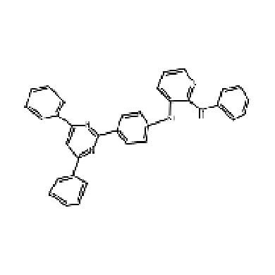 c1ccc(Nc2ncccc2Nc2ccc(-c3nc(-c4ccccc4)cc(-c4ccccc4)n3)cc2)cc1